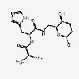 CC(N)C(=O)NC(Cc1cnc[nH]1)C(=O)NCC1O[C@H](O)CC[C@@H]1O